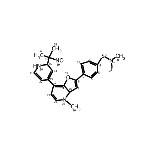 CN(F)Sc1ccc(C2=CC3C(=C(C4=CC(C(C)(C)N=O)NC=C4)C=CN3C)O2)cc1